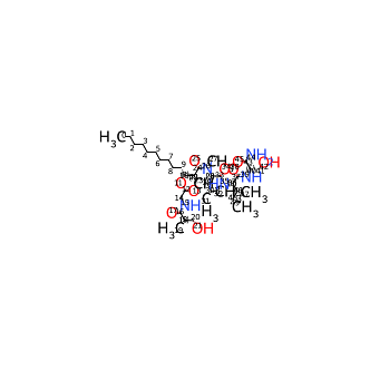 CCCCCCCCCC[C@@H](OC(=O)CNC(=O)[C@@H](C)CO)[C@@H](C)C(=O)N(C)[C@@H](CC(C)C)C(=O)N[C@H](C(=O)N[C@@H](CO)C(N)=O)[C@H](C)CC